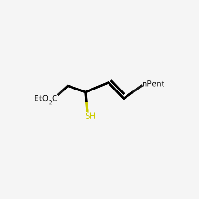 CCCCC/C=C/C(S)CC(=O)OCC